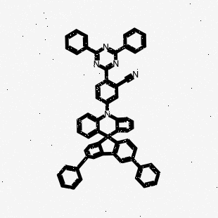 N#Cc1cc(N2c3ccccc3C3(c4ccc(-c5ccccc5)cc4-c4cc(-c5ccccc5)ccc43)c3ccccc32)ccc1-c1nc(-c2ccccc2)nc(-c2ccccc2)n1